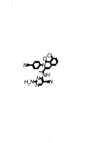 C[C@H](Nc1nc(N)ncc1C#N)c1cc2cccc(Cl)c2c(=O)n1-c1ccc(C#N)cc1